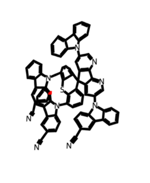 N#Cc1ccc2c(c1)c1ccccc1n2-c1cnc2c(c1)C1(c3cc(-n4c5ccccc5c5ccccc54)cnc3-2)c2cccc(-n3c4ccccc4c4cc(C#N)ccc43)c2Sc2c(-n3c4ccccc4c4cc(C#N)ccc43)cccc21